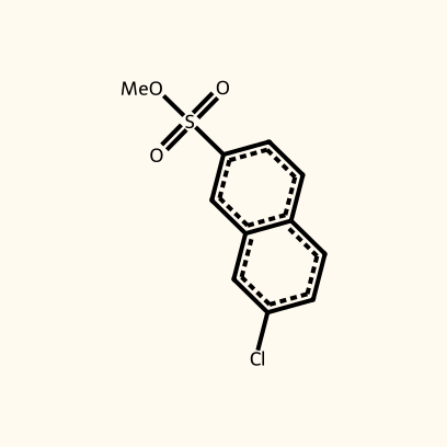 COS(=O)(=O)c1ccc2ccc(Cl)cc2c1